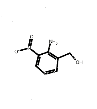 Nc1c(CO)cccc1[N+](=O)[O-]